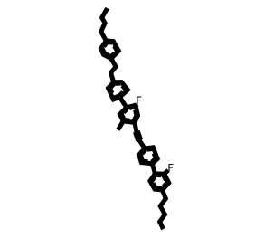 CCCCCc1ccc(-c2ccc(C#Cc3cc(F)c(-c4ccc(CCc5ccc(CCCC)cc5)cc4)cc3C)cc2)c(F)c1